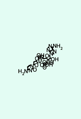 Nc1ccn([C@H]2CC(OP(=O)(O)OCC3OC(n4cnc5c(N)ncnc54)[C@H](O)[C@@H]3O)[C@@H](COP(=O)(O)O)O2)c(=O)n1